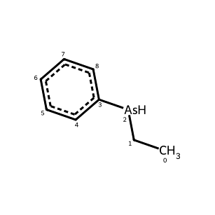 CC[AsH]c1ccccc1